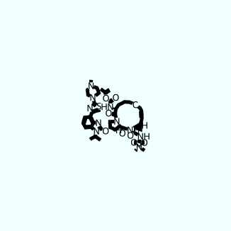 C=C(C)OC(=O)N[C@H]1CCCCC/C=C\[C@@H]2C[C@@]2(C(=O)NS(=O)(=O)N(C)C)NC(=O)[C@@H]2C[C@@H](Oc3nc4c(-c5csc(N6CCN(C)CC6)n5)cccc4n3C(C)C)CN2C1=O